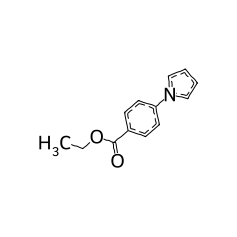 CCOC(=O)c1ccc(-n2cccc2)cc1